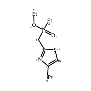 CCOP(=O)(CC)Cc1nc(C(C)C)cs1